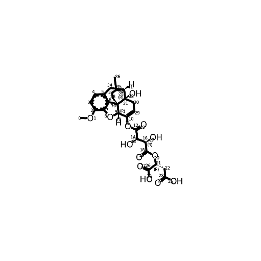 COc1ccc2c3c1O[C@H]1C(OC(=O)[C@H](O)[C@@H](O)C(=O)O[C@H](CC(=O)O)C(=O)O)=CC[C@@]4(O)[C@@H](C2)C(C)CC[C@]314